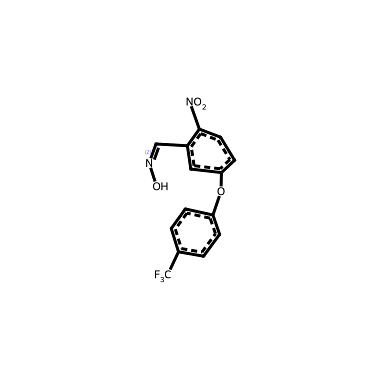 O=[N+]([O-])c1ccc(Oc2ccc(C(F)(F)F)cc2)cc1/C=N\O